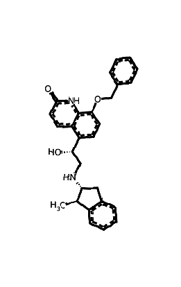 C[C@@H]1c2ccccc2C[C@H]1NC[C@H](O)c1ccc(OCc2ccccc2)c2[nH]c(=O)ccc12